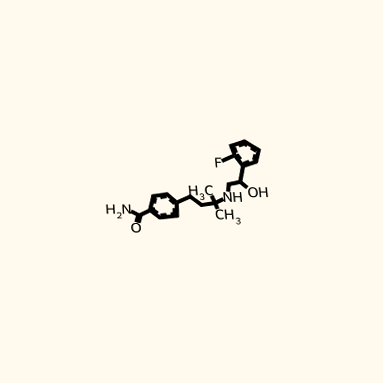 CC(C)(CCc1ccc(C(N)=O)cc1)NCC(O)c1ccccc1F